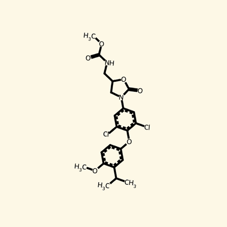 COC(=O)NCC1CN(c2cc(Cl)c(Oc3ccc(OC)c(C(C)C)c3)c(Cl)c2)C(=O)O1